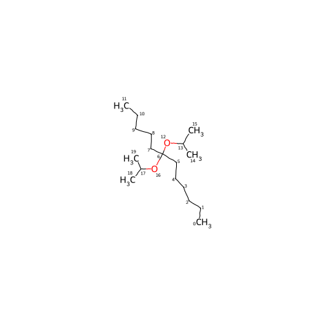 CCCCCCC(CCCCC)(OC(C)C)OC(C)C